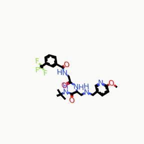 COc1ccc(CNCC(NC(=O)CNC(=O)c2cccc(C(F)(F)F)c2)C(=O)NC(C)(C)C)cn1